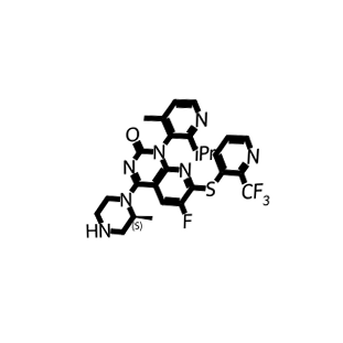 Cc1ccnc(C(C)C)c1-n1c(=O)nc(N2CCNC[C@@H]2C)c2cc(F)c(Sc3cccnc3C(F)(F)F)nc21